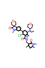 CCN(c1cc(-c2ccc3c(c2)N(C)C(=O)C32CCOCC2)c(Cl)c(C(=O)NCc2c(C)cc(C)[nH]c2=O)c1C)C1CCOCC1